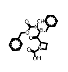 CN(C(=O)OCc1ccccc1)[C@H](Cc1ccccc1)C(=O)C1CCN1C(=O)O